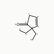 CCC1(CC)C=CCC1=O